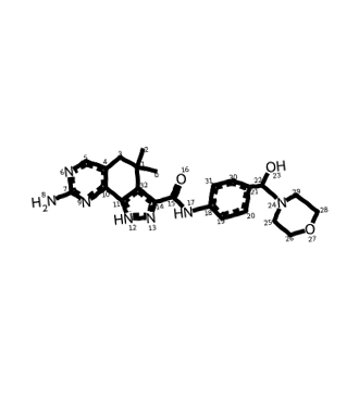 CC1(C)Cc2cnc(N)nc2-c2[nH]nc(C(=O)Nc3ccc(C(O)N4CCOCC4)cc3)c21